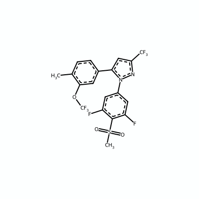 Cc1ccc(-c2cc(C(F)(F)F)nn2-c2cc(F)c(S(C)(=O)=O)c(F)c2)cc1OC(F)(F)F